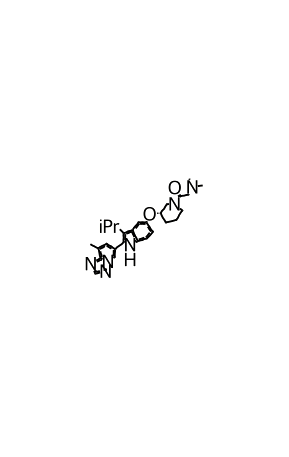 Cc1cc(-c2[nH]c3ccc(O[C@H]4CCCN(C(=O)CN(C)C)C4)cc3c2C(C)C)cn2ncnc12